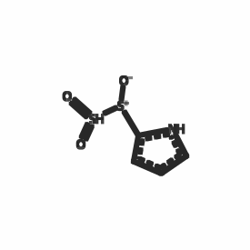 O=[SH](=O)[S+]([O-])c1ccc[nH]1